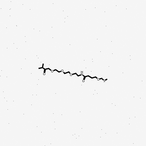 CSCOCCCC(=O)NCCOCCOCCOCC(=O)C(C)C